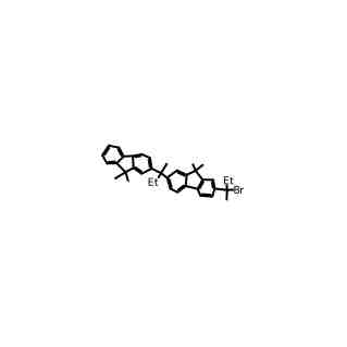 CCC(C)(Br)c1ccc2c(c1)C(C)(C)c1cc(C(C)(CC)c3ccc4c(c3)C(C)(C)c3ccccc3-4)ccc1-2